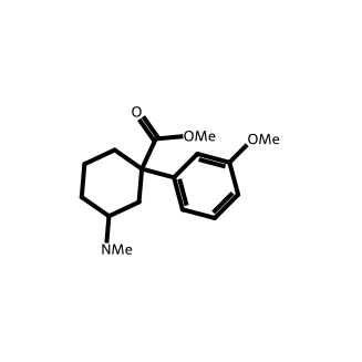 CNC1CCCC(C(=O)OC)(c2cccc(OC)c2)C1